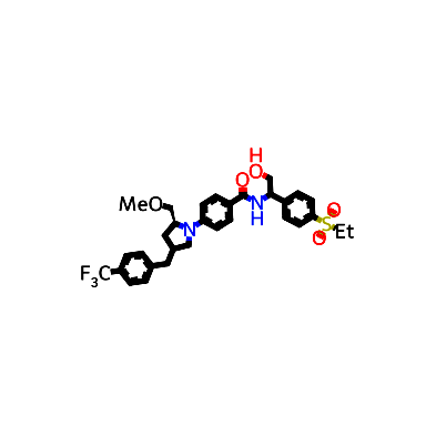 CCS(=O)(=O)c1ccc(C(CO)NC(=O)c2ccc(N3CC(Cc4ccc(C(F)(F)F)cc4)C[C@H]3COC)cc2)cc1